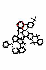 CC(C)(C)c1ccc(N2c3cc4c(cc3B3c5c(cc6ccccc6c52)-c2ccc(N(c5ccccc5)c5ccccc5)c5c6c7ccccc7sc6n3c25)C(C)(C)c2ccccc2C4(C)C)c(-c2ccccc2)c1